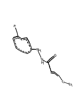 CCOC=CC(=O)NNc1cccc(F)c1